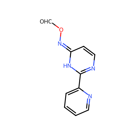 O=CON=c1ccnc(-c2ccccn2)[nH]1